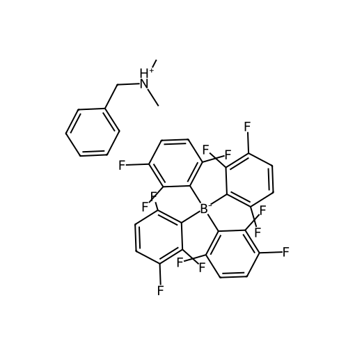 C[NH+](C)Cc1ccccc1.Fc1ccc(F)c([B-](c2c(F)ccc(F)c2F)(c2c(F)ccc(F)c2F)c2c(F)ccc(F)c2F)c1F